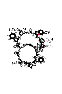 NC(=O)CC1NC(=O)C(CC(=O)O)NC(=O)C(Cc2ccc(O)cc2)NC(=O)CNC(=O)C(CCC(=O)O)NC(=O)C(Cc2ccccc2)NC(=O)C2COC/C=C\COCC(NC1=O)C(=O)NC(Cc1ccccc1)C(=O)N1CCCC1C(=O)NC(C(N)=O)CSCC(=O)N2